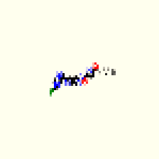 CNC(=O)c1ccc(C(=O)Nc2cc3cc(-c4cnn5c4CN(CCF)CC5)ncc3cn2)cn1